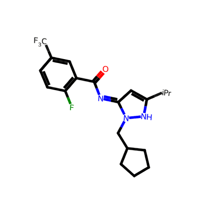 CC(C)c1cc(=NC(=O)c2cc(C(F)(F)F)ccc2F)n(CC2CCCC2)[nH]1